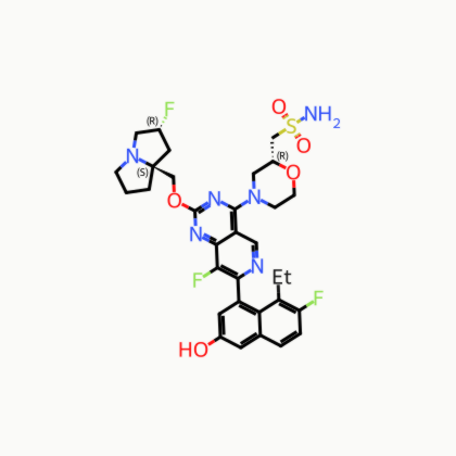 CCc1c(F)ccc2cc(O)cc(-c3ncc4c(N5CCO[C@@H](CS(N)(=O)=O)C5)nc(OC[C@@]56CCCN5C[C@H](F)C6)nc4c3F)c12